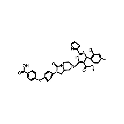 COC(=O)C1=C(CN2CCN3C(=O)N(c4ccc(Sc5ccc(C(=O)O)cc5)cc4)CC3C2)NC(c2nccs2)=NC1c1ccc(F)cc1Cl